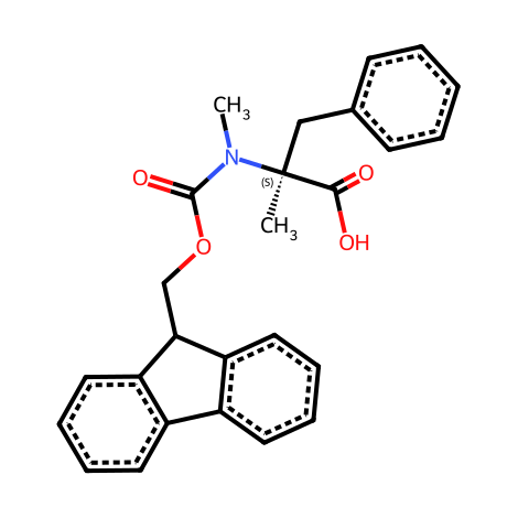 CN(C(=O)OCC1c2ccccc2-c2ccccc21)[C@@](C)(Cc1ccccc1)C(=O)O